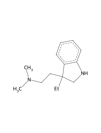 CCC1(CCN(C)C)CNc2ccccc21